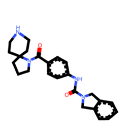 O=C(Nc1ccc(C(=O)N2CCCC23CCNCC3)cc1)N1Cc2ccccc2C1